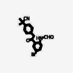 CC(C)(C#N)c1ccc(CC(=O)c2cc(Br)ccc2NC=O)cc1